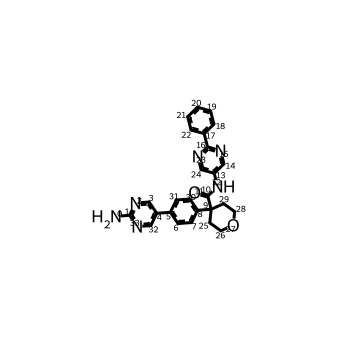 Nc1ncc(-c2ccc(C3(C(=O)Nc4cnc(-c5ccccc5)nc4)CCOCC3)cc2)cn1